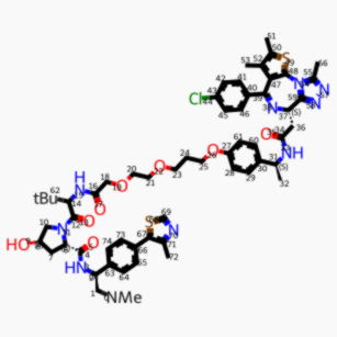 CNC[C@@H](NC(=O)[C@@H]1C[C@@H](O)CN1C(=O)C(NC(=O)COCCOCCCOc1ccc([C@H](C)NC(=O)C[C@@H]2N=C(c3ccc(Cl)cc3)c3c(sc(C)c3C)-n3c(C)nnc32)cc1)C(C)(C)C)c1ccc(-c2scnc2C)cc1